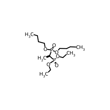 C=C(P(=O)(OCC)OCC)P(=O)(OCCCC)OCCCC